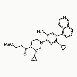 COCCC(=O)N1CCN(c2nc(C3CC3)c(-c3cccc4cnccc34)cc2N)C[C@H]1C1CC1